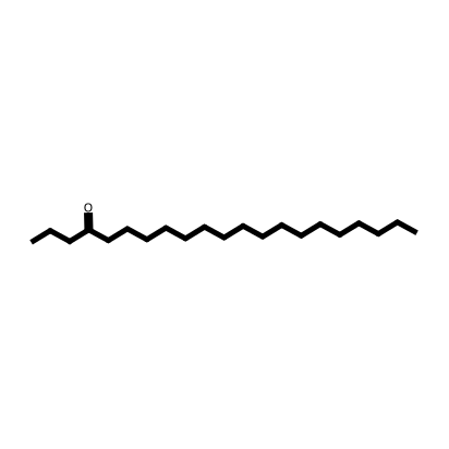 CC[CH]C(=O)CCCCCCCCCCCCCCCCC